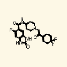 CN(C(=O)c1cc2[nH]c(=O)[nH]c2cc1F)C1CCN(CC(=O)C2CCC(F)(F)CC2)CC1